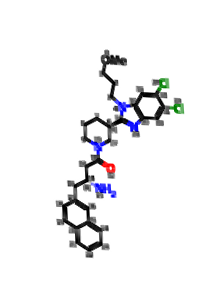 COCCCn1c([C@@H]2CCCN(C(=O)C[C@H](N)Cc3ccc4ccccc4c3)C2)nc2cc(Cl)c(Cl)cc21